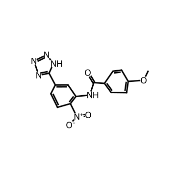 COc1ccc(C(=O)Nc2cc(-c3nnn[nH]3)ccc2[N+](=O)[O-])cc1